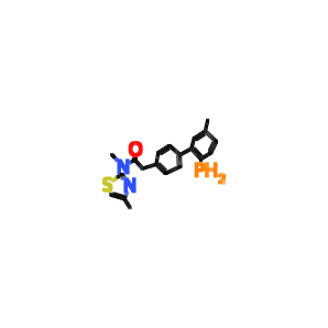 Cc1ccc(P)c(-c2ccc(CC(=O)N(C)c3nc(C)cs3)cc2)c1